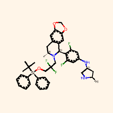 [2H]C1C[C@H](Nc2cc(F)c([C@@H]3c4cc5c(cc4C[C@@H](C)N3CC(F)(F)CO[Si](c3ccccc3)(c3ccccc3)C(C)(C)C)OCO5)c(F)c2)CN1